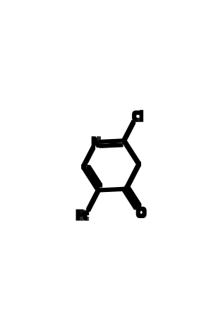 CCC1=CN=C(Cl)CC1=O